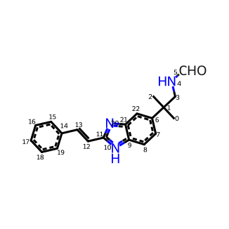 CC(C)(CNC=O)c1ccc2[nH]c(C=Cc3ccccc3)nc2c1